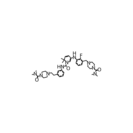 CN(C)C(=O)N1CCN(CCc2cccc(NC(=O)N3C=C(Nc4cccc(CN5CCN(C(=O)N(C)C)CC5)c4F)C=CC3(C)C)c2)CC1